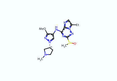 CCc1cnc2c(Nc3cn([C@@H]4CCN(C)C4)nc3OC)nc([S+](C)[O-])nn12